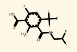 Cc1c(C(=O)O)c(F)cc(C(F)(F)F)c1C(=O)NCC(F)F